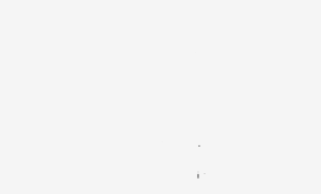 CCc1cc(C=O)c(F)c(O[Si](C(C)C)(C(C)C)C(C)C)c1